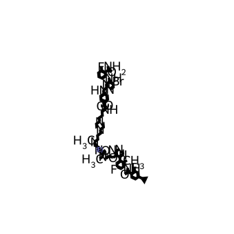 Cc1c(NC(=O)c2ccc(C3CC3)cc2F)cc(F)cc1-c1ncnc(N)c1OCCN(C)C(=O)/C=C/CN(C)CCCN1CCN(CCCNS(=O)(=O)c2ccc(Nc3ncc(Br)c(Nc4cccc(F)c4C(N)=O)n3)cc2)CC1